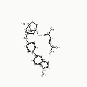 CN1[C@@H]2CC[C@H]1C[C@@H](Nc1ccc(-c3ccc4c(ccn4C)c3)cc1)C2.O=C(O)/C=C/C(=O)O